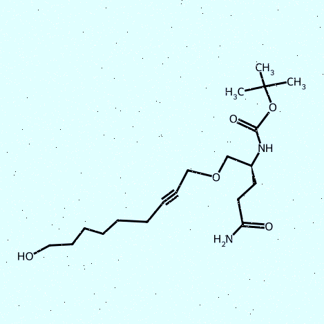 CC(C)(C)OC(=O)N[C@@H](CCC(N)=O)COCC#CCCCCCCO